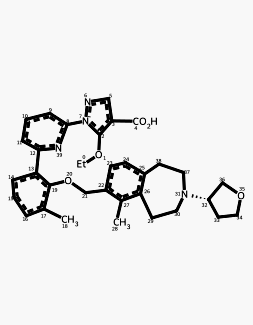 CCOc1c(C(=O)O)cnn1-c1cccc(-c2cccc(C)c2OCc2ccc3c(c2C)CCN([C@H]2CCOC2)CC3)n1